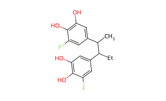 CCC(c1cc(O)c(O)c(F)c1)C(C)c1cc(O)c(O)c(F)c1